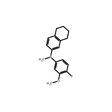 COc1cc(N(C)c2ccc3c(c2)CCCC3)ccc1F